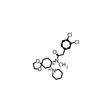 CN(C(=O)Cc1ccc(Cl)c(Cl)c1)[C@@H]1CCC2(C[C@H]1N1CCCCC1)OCCO2